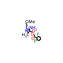 COCCCn1nc(C)c(C(=O)OCC(=O)c2c(F)cccc2F)c1N